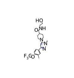 C=N/C(=C\C(=N/C)c1ccc(OC(F)(F)F)c(C)c1)N1CCC(C(=O)NCCO)CC1